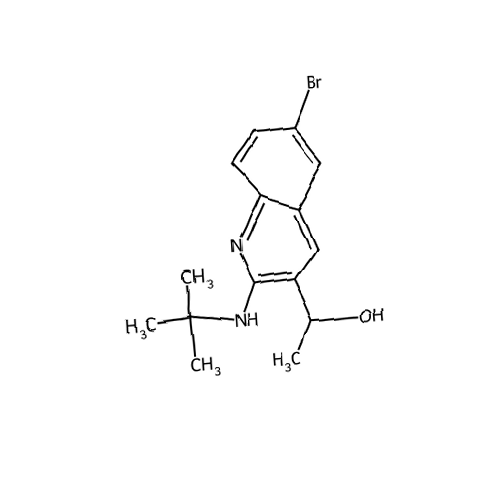 CC(O)c1cc2cc(Br)ccc2nc1NC(C)(C)C